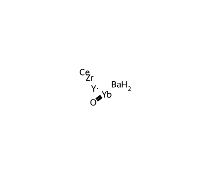 [BaH2].[Ce].[O]=[Yb].[Y].[Zr]